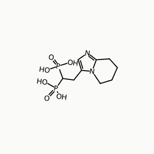 O=P(O)(O)C(Cc1cnc2n1CCCC2)P(=O)(O)O